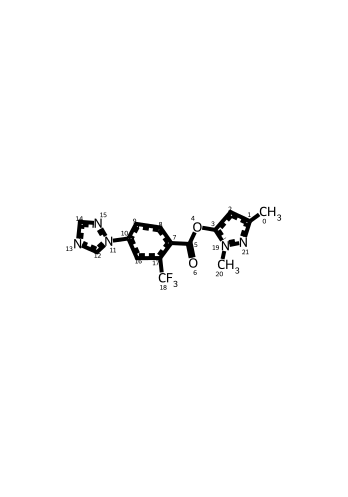 Cc1cc(OC(=O)c2ccc(-n3cncn3)cc2C(F)(F)F)n(C)n1